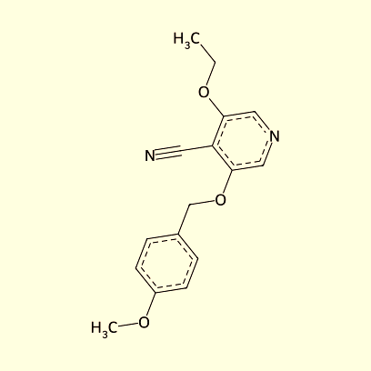 CCOc1cncc(OCc2ccc(OC)cc2)c1C#N